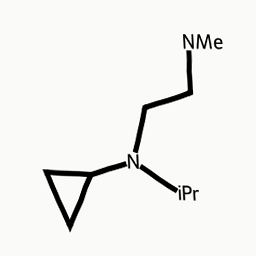 CNCCN(C(C)C)C1CC1